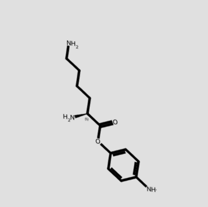 [NH]c1ccc(OC(=O)[C@@H](N)CCCCN)cc1